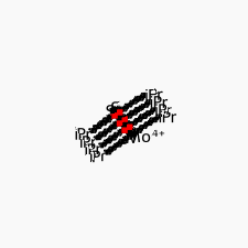 CC(C)CCCCCCCCCCN(CCCCCCCCCCC(C)C)C(=S)[S-].CC(C)CCCCCCCCCCN(CCCCCCCCCCC(C)C)C(=S)[S-].CC(C)CCCCCCCCCCN(CCCCCCCCCCC(C)C)C(=S)[S-].CC(C)CCCCCCCCCCN(CCCCCCCCCCC(C)C)C(=S)[S-].[Mo+4]